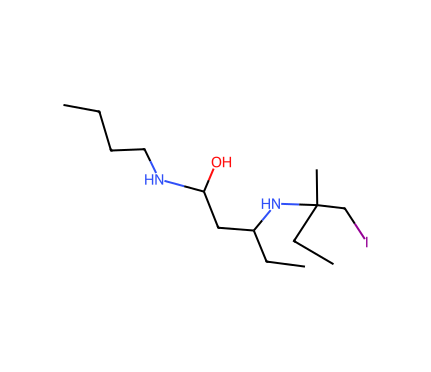 CCCCNC(O)CC(CC)NC(C)(CC)CI